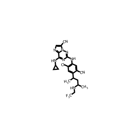 CC(CC(C)c1cc(Cl)c(Nc2nc(NC3CC3)c3ncc(C#N)n3n2)cc1C#N)NCC(F)(F)F